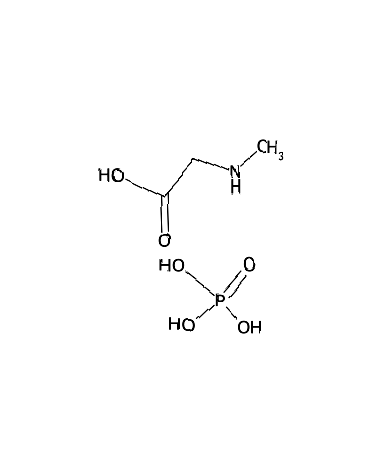 CNCC(=O)O.O=P(O)(O)O